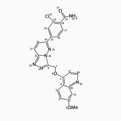 COc1ccc2c(OCc3nnc4ccc(-c5ccc(C(N)=O)c(Cl)c5)nn34)ccnc2c1